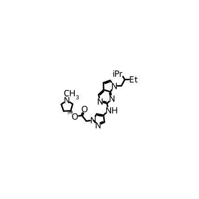 CCC(Cn1ccc2cnc(Nc3cnn(CC(=O)O[C@@H]4CCN(C)C4)c3)nc21)C(C)C